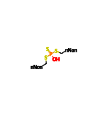 CCCCCCCCCCSP(O)(=S)SCCCCCCCCCC